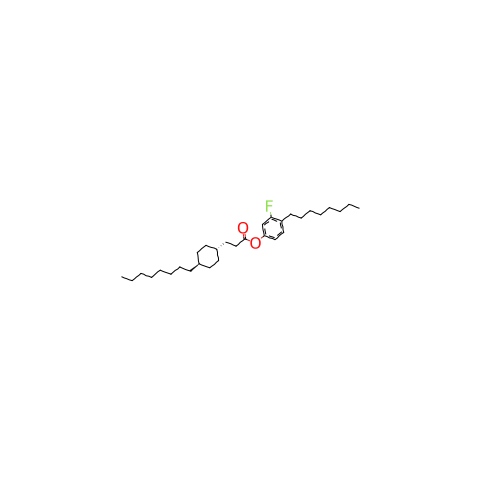 CCCCCCCCc1ccc(OC(=O)CC[C@H]2CC[C@H](CCCCCCCC)CC2)cc1F